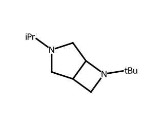 CC(C)N1CC2CN(C(C)(C)C)C2C1